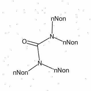 CCCCCCCCCN(CCCCCCCCC)C(=O)N(CCCCCCCCC)CCCCCCCCC